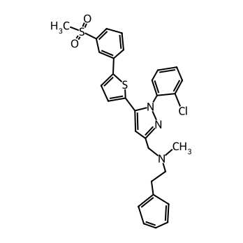 CN(CCc1ccccc1)Cc1cc(-c2ccc(-c3cccc(S(C)(=O)=O)c3)s2)n(-c2ccccc2Cl)n1